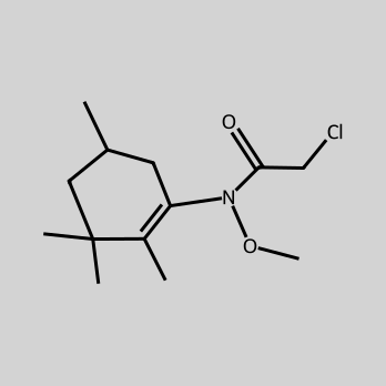 CON(C(=O)CCl)C1=C(C)C(C)(C)CC(C)C1